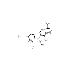 COC(=O)C(C)(C)C(c1ccc(C)c(CCl)n1)c1ccn2c(C(F)F)nnc2c1C